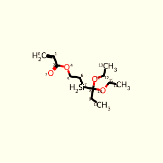 C=CC(=O)OCC[SiH2]C(CC)(OCC)OCC